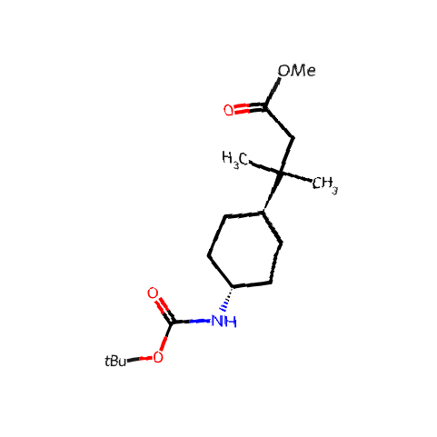 COC(=O)CC(C)(C)[C@H]1CC[C@H](NC(=O)OC(C)(C)C)CC1